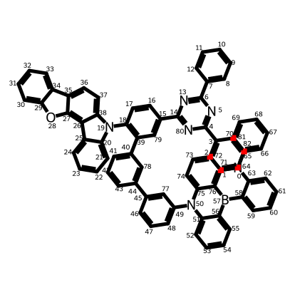 c1ccc(-c2nc(-c3ccccc3)nc(-c3ccc(-n4c5ccccc5c5c6oc7ccccc7c6ccc54)c(-c4cccc(-c5cccc(N6c7ccccc7B7c8ccccc8N(c8ccccc8)c8cccc6c87)c5)c4)c3)n2)cc1